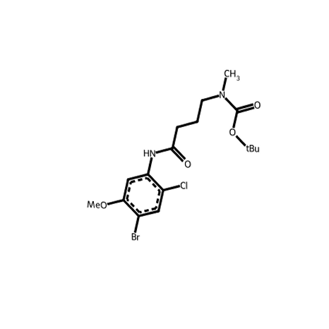 COc1cc(NC(=O)CCCN(C)C(=O)OC(C)(C)C)c(Cl)cc1Br